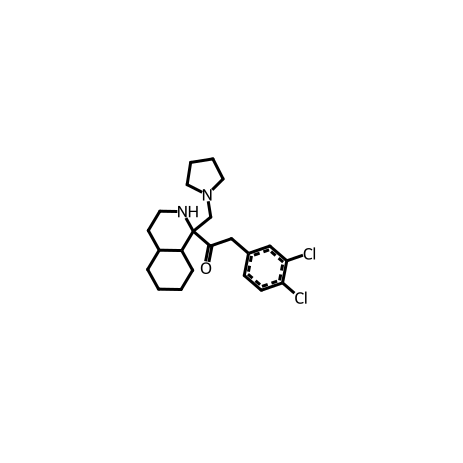 O=C(Cc1ccc(Cl)c(Cl)c1)C1(CN2CCCC2)NCCC2CCCCC21